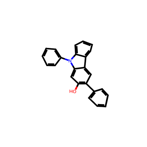 Oc1cc2c(cc1-c1ccccc1)c1ccccc1n2-c1ccccc1